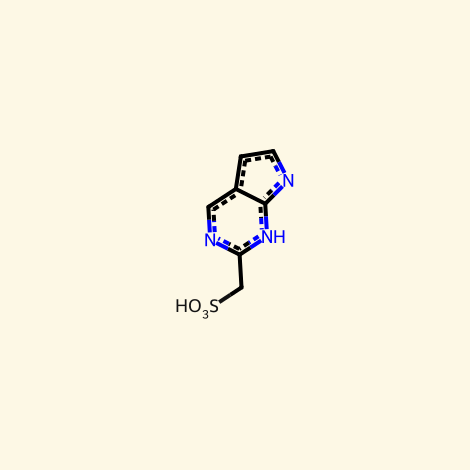 O=S(=O)(O)Cc1ncc2ccnc-2[nH]1